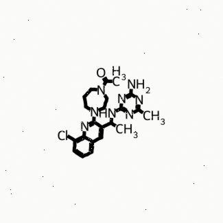 CC(=O)N1CCCN(c2nc3c(Cl)cccc3cc2C(C)Nc2nc(C)nc(N)n2)CC1